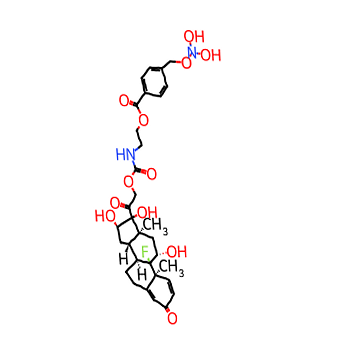 C[C@]12C[C@H](O)[C@@]3(F)[C@@H](CCC4=CC(=O)C=C[C@@]43C)[C@@H]1C[C@@H](O)C2(O)C(=O)COC(=O)NCCOC(=O)c1ccc(CON(O)O)cc1